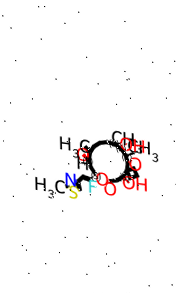 CC[C@H]1C(=O)C2(CCC2)[C@@H](O)CC(=O)O[C@H](C(F)=Cc2csc(C)n2)C[C@@H]2OC2(C)CCC[C@H](C)[C@@H]1O